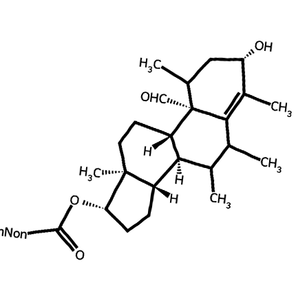 CCCCCCCCCC(=O)O[C@H]1CC[C@H]2[C@@H]3C(C)C(C)C4=C(C)[C@@H](O)CC(C)[C@]4(C=O)[C@H]3CC[C@]12C